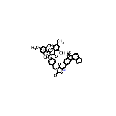 CCn1c2ccc(/C=C3/SC(=O)N(Cc4ccc(P(=O)(C(=O)c5c(C)cc(C)cc5C)C(=O)c5c(C)cc(C)cc5C)cc4)C3=O)cc2c2c3c(ccc21)CCC3